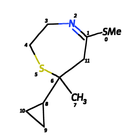 CSC1=NCCSC(C)(C2CC2)C1